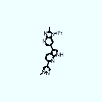 Cc1nc2ncc(-c3c[nH]c4nc(-c5cnn(C)c5)ccc34)cc2n1C(C)C